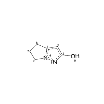 Oc1cc2n(n1)CCC2